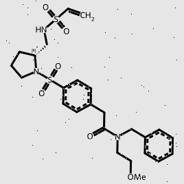 C=CS(=O)(=O)NC[C@H]1CCCN1S(=O)(=O)c1ccc(CC(=O)N(CCOC)Cc2ccccc2)cc1